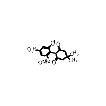 COc1cc([N+](=O)[O-])cc(Cl)c1C1C(=O)CC(C)(C)CC1=O